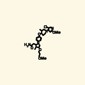 COCCCOC1CN(c2ccc(OC3CCN(c4cc(OC)ncc4Cl)CC3C)cc2)C(CC(N)=O)C1C